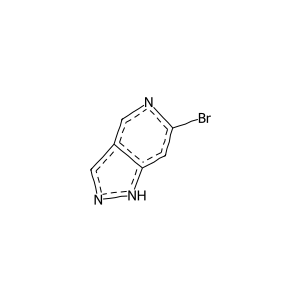 Brc1cc2[nH]ncc2cn1